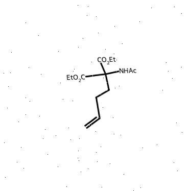 C=CCCC(NC(C)=O)(C(=O)OCC)C(=O)OCC